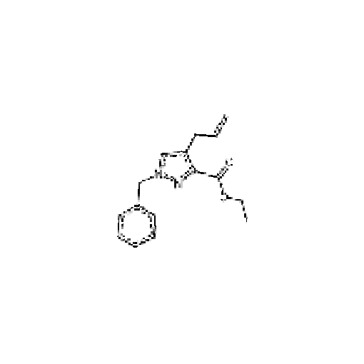 C=CCc1cn(Cc2ccccc2)nc1C(=O)OCC